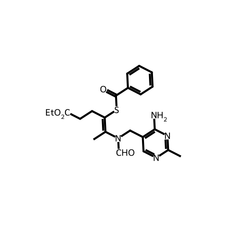 CCOC(=O)CC/C(SC(=O)c1ccccc1)=C(\C)N(C=O)Cc1cnc(C)nc1N